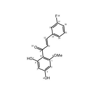 COc1cc(O)cc(O)c1C(=O)C=Cc1cccc(F)c1